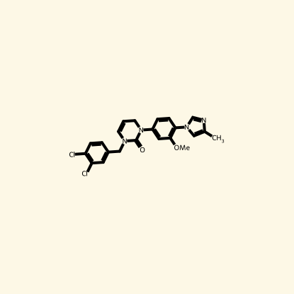 COc1cc(N2CC=CN(Cc3ccc(Cl)c(Cl)c3)C2=O)ccc1-n1cnc(C)c1